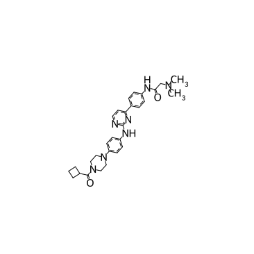 CN(C)CC(=O)Nc1ccc(-c2ccnc(Nc3ccc(N4CCN(C(=O)C5CCC5)CC4)cc3)n2)cc1